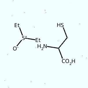 CC[S+]([O-])CC.NC(CS)C(=O)O